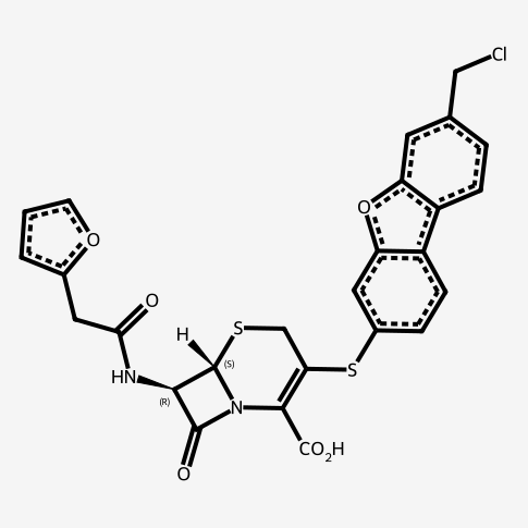 O=C(Cc1ccco1)N[C@@H]1C(=O)N2C(C(=O)O)=C(Sc3ccc4c(c3)oc3cc(CCl)ccc34)CS[C@@H]12